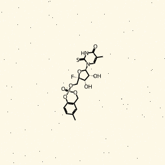 Cc1ccc2c(c1)COP(=O)(OC[C@@]1(F)O[C@@H](n3cc(C)c(=O)[nH]c3=S)[C@H](O)[C@@H]1O)O2